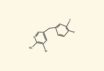 N#Cc1ncc(Cc2ccc(F)c(F)c2)cc1Br